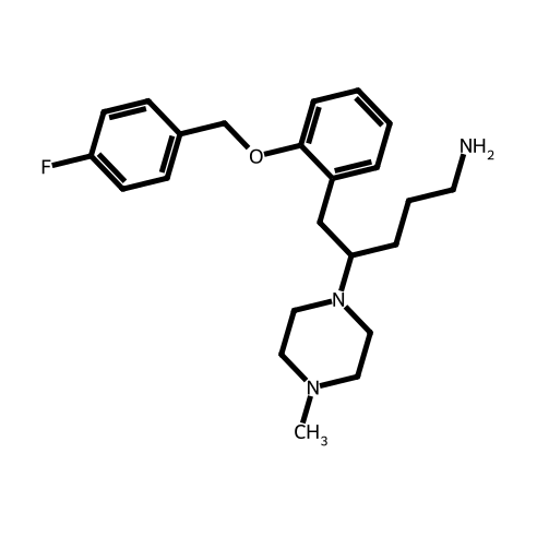 CN1CCN(C(CCCN)Cc2ccccc2OCc2ccc(F)cc2)CC1